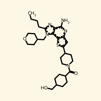 CCCCc1nc2c(N)nc3cc(C4CCN(C(=O)C5CCC(CO)CC5)CC4)sc3c2n1CC1CCOCC1